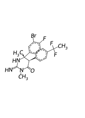 CN1C(=N)N[C@](C)(c2ccc(F)c(Br)c2)[C@@H](c2ccc(C(C)(F)F)cc2)C1=O